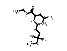 CCOC(=O)C(CC(C)C)SCCCC(F)(F)CC